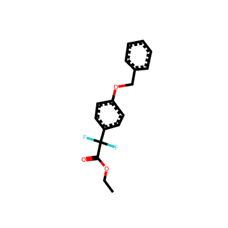 CCOC(=O)C(F)(F)c1ccc(OCc2ccccc2)cc1